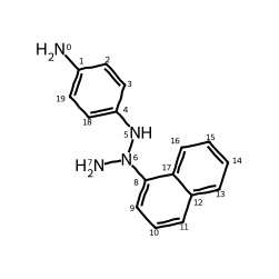 Nc1ccc(NN(N)c2cccc3ccccc23)cc1